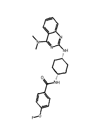 CN(C)c1nc(N[C@H]2CC[C@@H](NC(=O)c3ccc(OF)cc3)CC2)nc2ccccc12